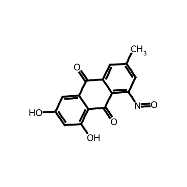 Cc1cc(N=O)c2c(c1)C(=O)c1cc(O)cc(O)c1C2=O